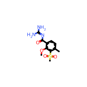 COc1c(C(=O)N=C(N)N)ccc(C)c1S(C)(=O)=O